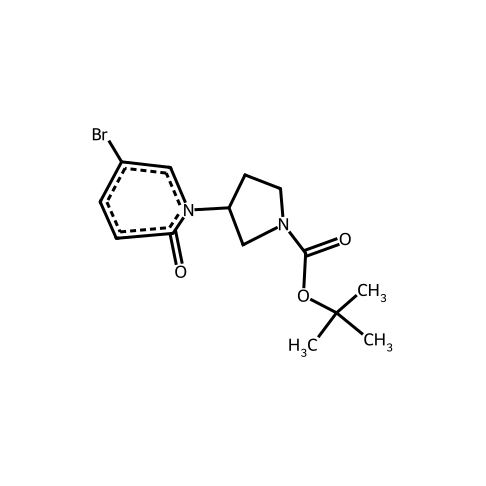 CC(C)(C)OC(=O)N1CCC(n2cc(Br)ccc2=O)C1